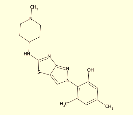 Cc1cc(C)c(-n2cc3sc(NC4CCN(C)CC4)nc3n2)c(O)c1